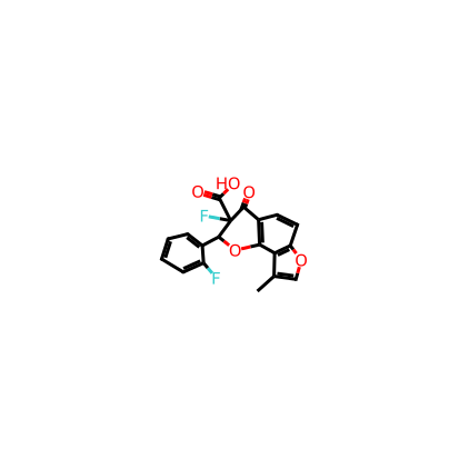 Cc1coc2ccc3c(c12)OC(c1ccccc1F)C(F)(C(=O)O)C3=O